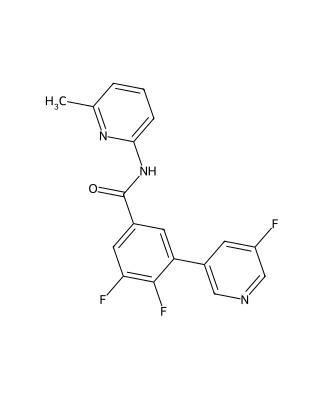 Cc1cccc(NC(=O)c2cc(F)c(F)c(-c3cncc(F)c3)c2)n1